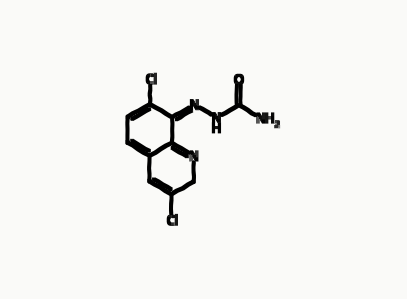 NC(=O)N/N=C1/C(Cl)=CC=C2C=C(Cl)CN=C21